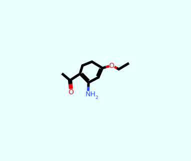 CCOC1=CC(N)=C(C(C)=O)CC1